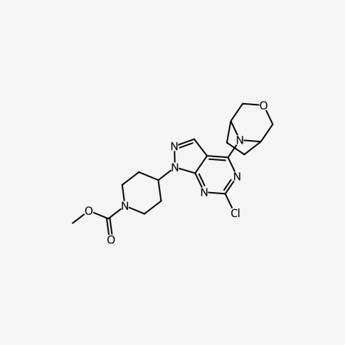 COC(=O)N1CCC(n2ncc3c(N4C5CCC4COC5)nc(Cl)nc32)CC1